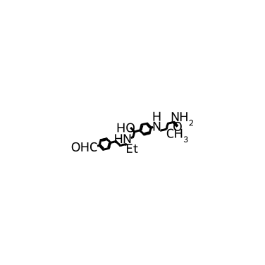 CCC(CCc1ccc(C=O)cc1)NCC(O)c1ccc(NCC(C)CC(N)=O)cc1